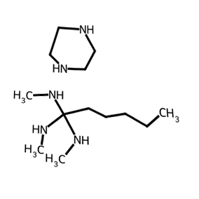 C1CNCCN1.CCCCCC(NC)(NC)NC